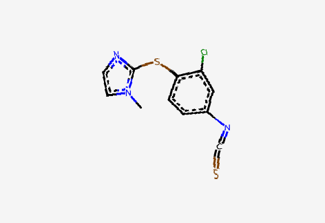 Cn1ccnc1Sc1ccc(N=C=S)cc1Cl